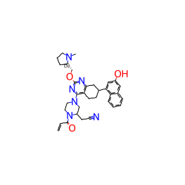 C=CC(=O)N1CCN(c2nc(OC[C@@H]3CCCN3C)nc3c2CCC(c2cc(O)cc4ccccc24)C3)CC1CC#N